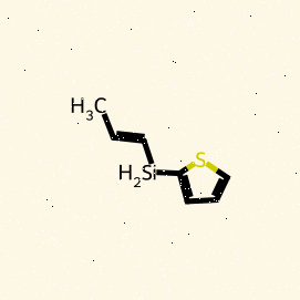 CC=C[SiH2]c1cccs1